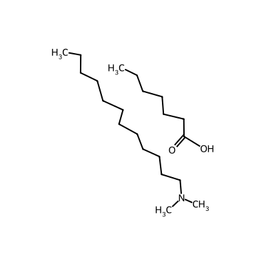 CCCCCCC(=O)O.CCCCCCCCCCCCN(C)C